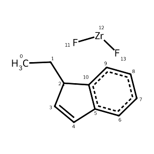 CC[C]1C=Cc2ccccc21.[F][Zr][F]